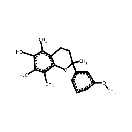 COc1[c]ccc(C2(C)CCc3c(C)c(O)c(C)c(C)c3O2)c1